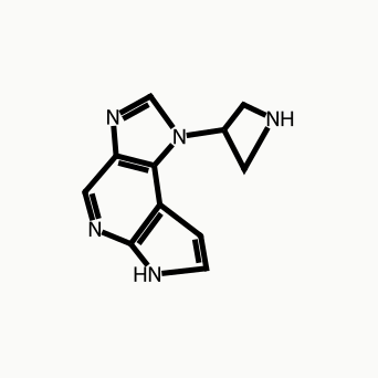 c1cc2c(ncc3ncn(C4CNC4)c32)[nH]1